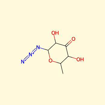 CC1OC(N=[N+]=[N-])C(O)C(=O)C1O